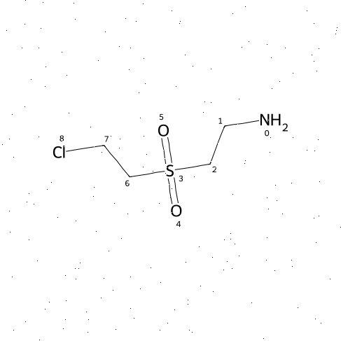 NCCS(=O)(=O)CCCl